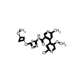 COc1cnc(Cl)cc1-c1cc(C)ncc1C(=O)Nc1nnc(O[C@H]2C[C@H](OC)C2)s1